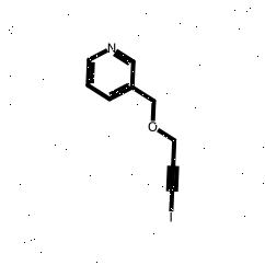 IC#CCOCc1cccnc1